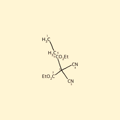 CC.CCOC(=O)C(C#N)(C#N)C(=O)OCC